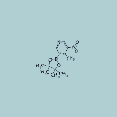 Cc1c(B2OC(C)(C)C(C)(C)O2)cncc1[N+](=O)[O-]